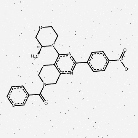 C[C@H]1COCCN1c1nc(-c2ccc([N+](=O)[O-])cc2)nc2c1CCN(C(=O)c1cccnc1)C2